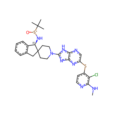 CNc1nccc(Sc2cnc3[nH]c(N4CCC5(CC4)Cc4ccccc4[C@H]5N[S+]([O-])C(C)(C)C)nc3n2)c1Cl